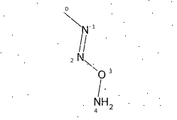 CN=NON